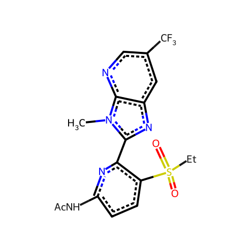 CCS(=O)(=O)c1ccc(NC(C)=O)nc1-c1nc2cc(C(F)(F)F)cnc2n1C